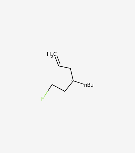 C=CC[C](CCF)CCCC